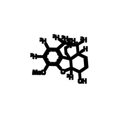 [2H]c1c([2H])c2c3c(c1OC)OC1([2H])C(O)C=C[C@@H]4[C@@]31CCN(C)[C@]4([2H])C2([2H])[2H]